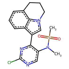 CN(c1cnc(Cl)nc1-c1cn2c3c(cccc13)CCC2)S(C)(=O)=O